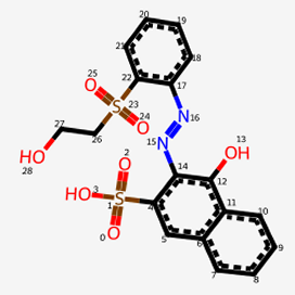 O=S(=O)(O)c1cc2ccccc2c(O)c1N=Nc1ccccc1S(=O)(=O)CCO